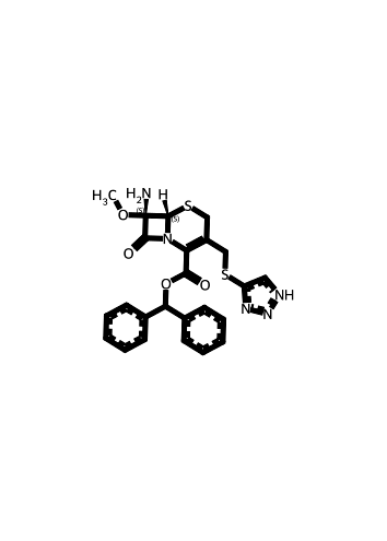 CO[C@@]1(N)C(=O)N2C(C(=O)OC(c3ccccc3)c3ccccc3)=C(CSc3c[nH]nn3)CS[C@H]21